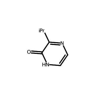 CC(C)c1ncc[nH]c1=O